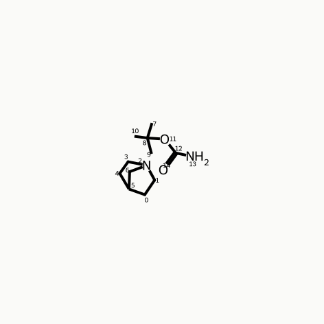 C1CN2CCC1C2.CC(C)(C)OC(N)=O